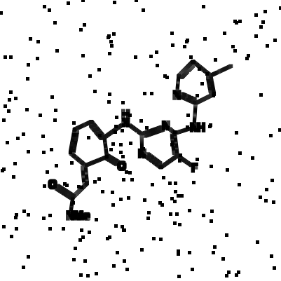 CNC(=O)C=C1C=CC=C(Nc2ncc(F)c(Nc3cc(C)ccn3)n2)C1=O